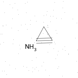 C1#CC1.N